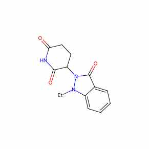 CCn1c2ccccc2c(=O)n1C1CCC(=O)NC1=O